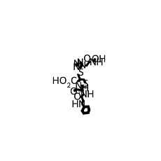 O=C(Cn1nnnc1SCC1=C(C(=O)O)N2C(=O)[C@@H](NC(=O)CNc3ccccc3)[C@@H]2SC1)NO